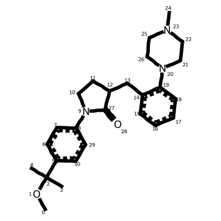 COC(C)(C)c1ccc(N2CCC(Cc3ccccc3N3CCN(C)CC3)C2=O)cc1